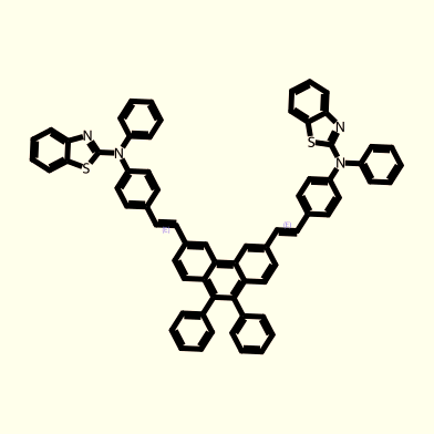 C(=C\c1ccc2c(-c3ccccc3)c(-c3ccccc3)c3ccc(/C=C/c4ccc(N(c5ccccc5)c5nc6ccccc6s5)cc4)cc3c2c1)/c1ccc(N(c2ccccc2)c2nc3ccccc3s2)cc1